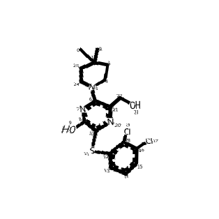 CC1(C)CCN(c2nc(O)c(Sc3cccc(Cl)c3Cl)nc2CO)CC1